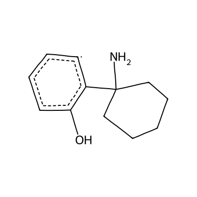 NC1(c2[c]cccc2O)CCCCC1